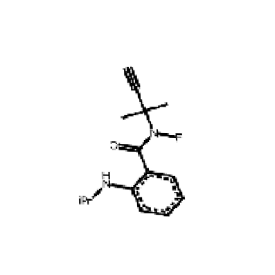 C#CC(C)(C)N(F)C(=O)c1ccccc1NC(C)C